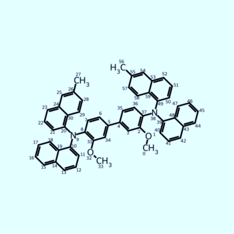 COc1cc(-c2ccc(N(c3cccc4ccccc34)c3cccc4cc(C)ccc34)c(OC)c2)ccc1N(c1cccc2ccccc12)c1cccc2cc(C)ccc12